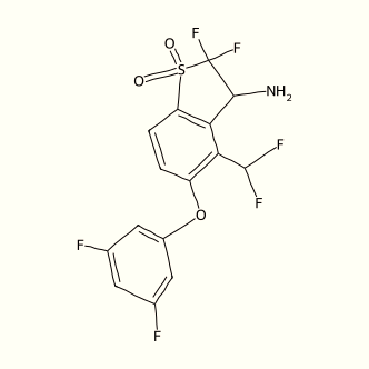 NC1c2c(ccc(Oc3cc(F)cc(F)c3)c2C(F)F)S(=O)(=O)C1(F)F